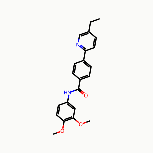 CCc1ccc(-c2ccc(C(=O)Nc3ccc(OC)c(OC)c3)cc2)nc1